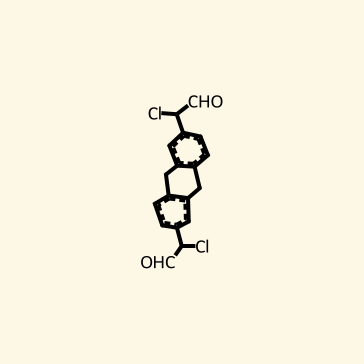 O=CC(Cl)c1ccc2c(c1)Cc1ccc(C(Cl)C=O)cc1C2